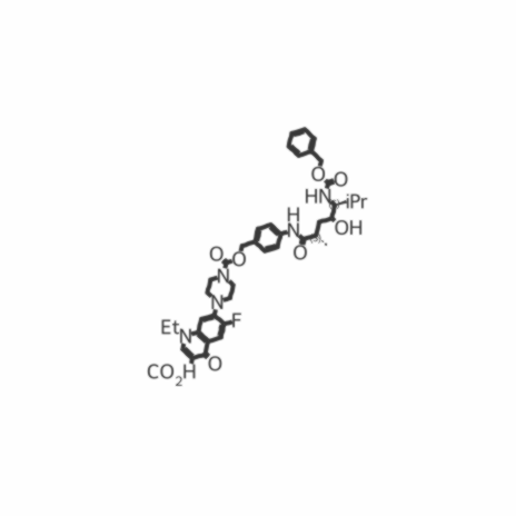 CCn1cc(C(=O)O)c(=O)c2cc(F)c(N3CCN(C(=O)OCc4ccc(NC(=O)[C@@H](C)CC(O)[C@@H](NC(=O)OCc5ccccc5)C(C)C)cc4)CC3)cc21